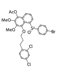 COc1c(OC)c(OCCCc2ccc(Cl)cc2Cl)c2c([S+]([O-])c3ccc(Br)cc3)cccc2c1OC(C)=O